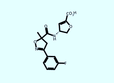 CC1(C(=O)N[C@@H]2C=C(C(=O)O)OC2)CC(c2cccc(F)c2)=NO1